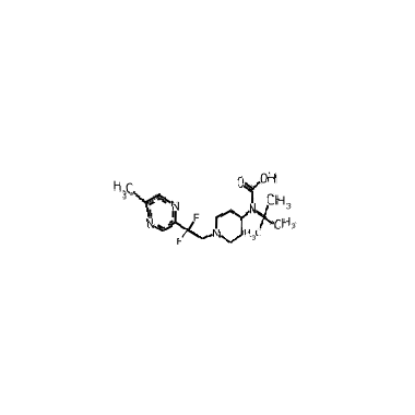 Cc1cnc(C(F)(F)CN2CCC(N(C(=O)O)C(C)(C)C)CC2)cn1